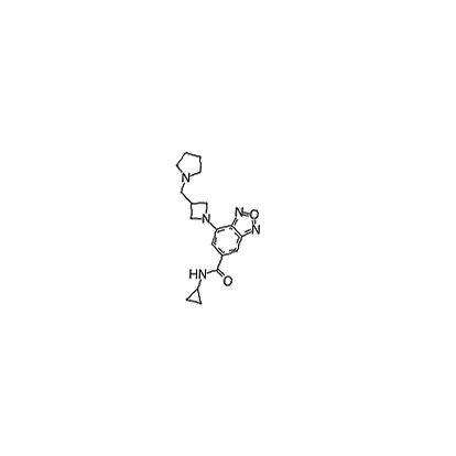 O=C(NC1CC1)c1cc(N2CC(CN3CCCC3)C2)c2nonc2c1